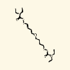 CCN(CC)C(=S)SSCCCCOCCCCSSC(=S)N(CC)CC